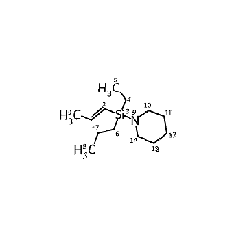 CC=C[Si](CC)(CCC)N1CCCCC1